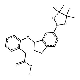 COC(=O)Cc1ccccc1OC1CCc2ccc(B3OC(C)(C)C(C)(C)O3)cc21